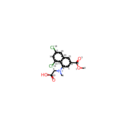 COC(=O)c1cc(N(C)CC(=O)O)c2c(Cl)cc(Cl)cc2c1